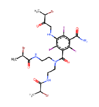 CC(Br)C(=O)CNc1c(I)c(C(N)=O)c(I)c(C(=O)N(CCNC(=O)C(C)Br)CCNC(=O)C(C)Br)c1I